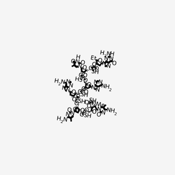 CC[C@H]1O[C@@H](n2cnc3c(=O)[nH]c(N)nc32)C[C@H]1OP(=O)(S)OC[C@H]1O[C@@H](n2cc(C)c(=O)[nH]c2=O)C[C@H]1OP(=O)(S)OC[C@H]1O[C@@H](n2cnc3c(N)ncnc32)C[C@H]1OP(=O)(S)OC[C@H]1O[C@@H](n2cnc3c(N)ncnc32)C[C@H]1OP(=O)(S)OC[C@H]1O[C@@H](n2cc(C)c(N)nc2=O)C[C@H]1OP(=O)(S)OC[C@H]1O[C@@H](n2cc(C)c(N)nc2=O)C[C@H]1OP(=O)(S)OC